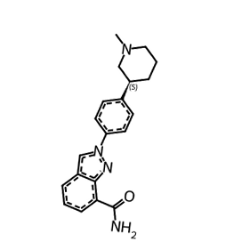 CN1CCC[C@@H](c2ccc(-n3cc4cccc(C(N)=O)c4n3)cc2)C1